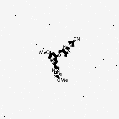 COc1cc(OCc2nc(N3CC(C#N)C3)sc2C)c2cc(-c3cn4nc(OC)sc4n3)nn2c1